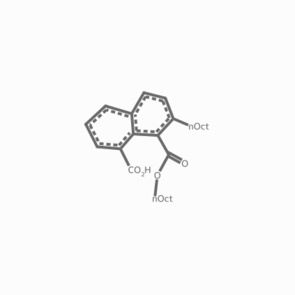 CCCCCCCCOC(=O)c1c(CCCCCCCC)ccc2cccc(C(=O)O)c12